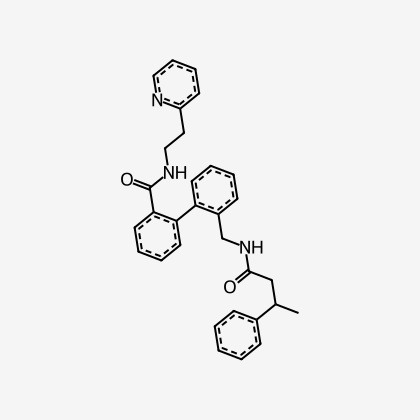 CC(CC(=O)NCc1ccccc1-c1ccccc1C(=O)NCCc1ccccn1)c1ccccc1